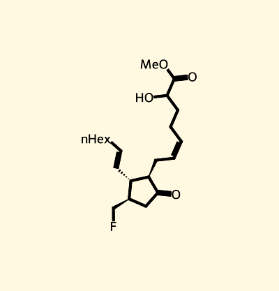 CCCCCC/C=C/[C@H]1[C@H](CF)CC(=O)[C@@H]1C/C=C\CCC(O)C(=O)OC